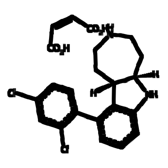 Clc1ccc(-c2cccc3c2[C@@H]2CCNCC[C@H]2N3)c(Cl)c1.O=C(O)/C=C\C(=O)O